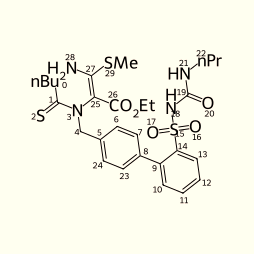 CCCCC(=S)N(Cc1ccc(-c2ccccc2S(=O)(=O)NC(=O)NCCC)cc1)C(C(=O)OCC)=C(N)SC